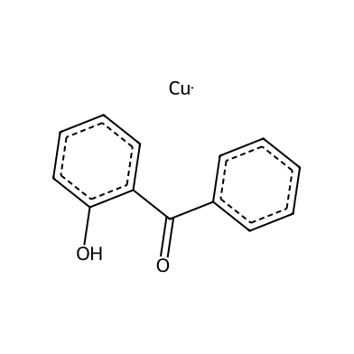 O=C(c1ccccc1)c1ccccc1O.[Cu]